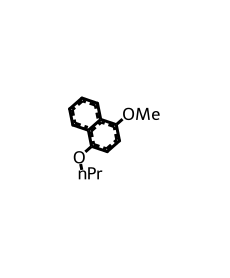 CCCOc1ccc(OC)c2ccccc12